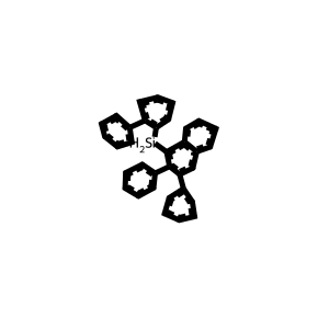 c1ccc(-c2ccccc2[SiH2]c2c(-c3ccccc3)c(-c3ccccc3)cc3ccccc23)cc1